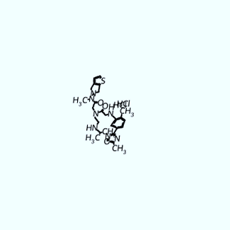 Cc1nc(-c2ccc(C)c(NCC(=O)N(CCNC(C)C)CC(=O)N(C)N3Cc4ccsc4C3)c2)no1.Cl.Cl